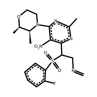 C=NCC(c1nc(C)nc(N2CCO[C@H](C)[C@@H]2C)c1[N+](=O)[O-])S(=O)(=O)c1ccccc1F